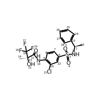 C[C@@H](NS(=O)(=O)c1ccc(NC(=O)[C@@](C)(O)C(F)(F)F)c(Cl)c1)c1ccccc1